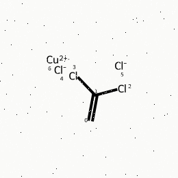 C=C(Cl)Cl.[Cl-].[Cl-].[Cu+2]